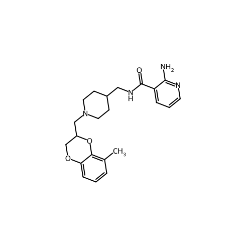 Cc1cccc2c1OC(CN1CCC(CNC(=O)c3cccnc3N)CC1)CO2